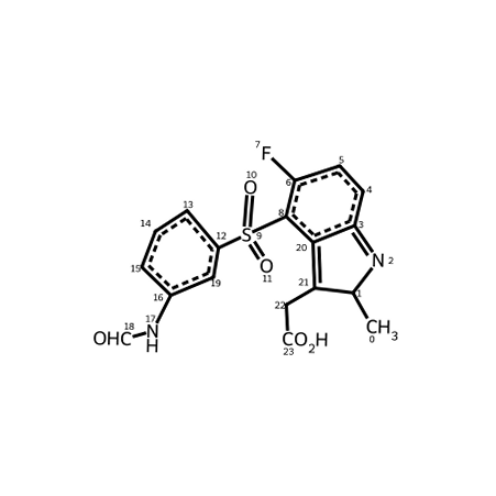 CC1N=c2ccc(F)c(S(=O)(=O)c3cccc(NC=O)c3)c2=C1CC(=O)O